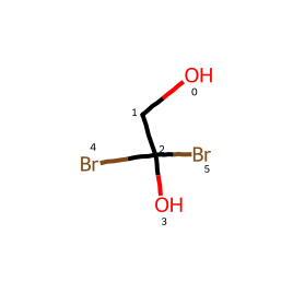 OCC(O)(Br)Br